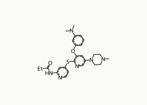 CCC(=O)Nc1cc(Sc2ncc(N3CCN(C)CC3)cc2Oc2cccc(N(C)C)c2)ccn1